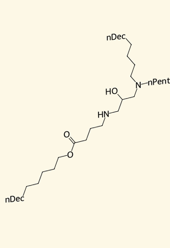 CCCCCCCCCCCCCCCOC(=O)CCCNCC(O)CN(CCCCC)CCCCCCCCCCCCCC